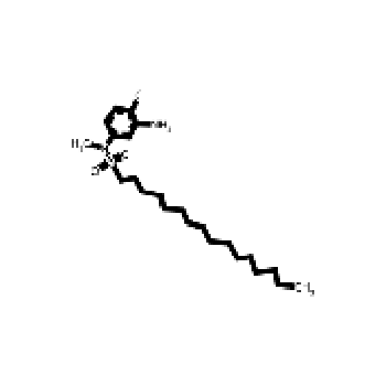 CCCCCCCCCCCCCCCCS(=O)(=O)N(C)c1ccc(Cl)c(N)c1